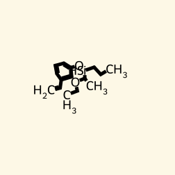 C=Cc1cccc(O[SiH](CCC)C(C)OCC)c1